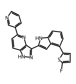 Fc1ccc(-c2cccc3[nH]c(-c4n[nH]c5ccc(-c6cccnc6)nc45)cc23)s1